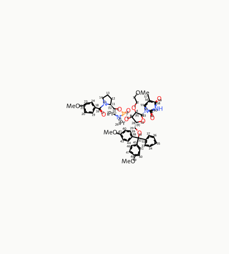 COCCO[C@@H]1[C@H](OP(=O)(OC[C@@H]2CCCN2C(=O)c2ccc(OC)cc2)N(C(C)C)C(C)C)[C@@H](COC(c2ccccc2)(c2ccc(OC)cc2)c2ccc(OC)cc2)O[C@H]1n1cc(C)c(=O)[nH]c1=O